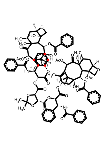 CC(=O)O[C@H]1C(=O)[C@@]2(C)C([C@H](OC(=O)c3ccccc3)[C@]3(O)C[C@H](OC(=O)[C@H](OC(=O)[C@@H]4OC(C)(C)O[C@H]4C(=O)O[C@@H](C(=O)O[C@H]4C[C@@]5(O)[C@@H](OC(=O)c6ccccc6)C6[C@](C)(C(=O)[C@H](OC(C)=O)C(=C4C)C5(C)C)[C@@H](C)C[C@H]4OC[C@@]64OC(C)=O)[C@@H](NC(=O)c4ccccc4)c4ccccc4)[C@H](NC(=O)c4ccccc4)c4ccccc4)C(C)=C1C3(C)C)[C@]1(OC(C)=O)CO[C@@H]1C[C@@H]2C